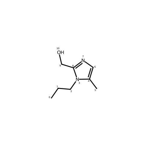 CCCn1c(C)cnc1CO